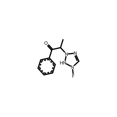 CC(C(=O)c1ccccc1)N1N=CN(F)N1